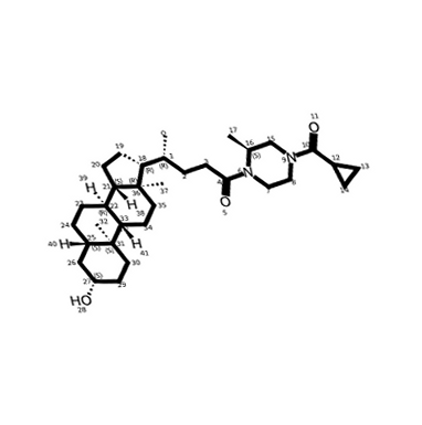 C[C@H](CCC(=O)N1CCN(C(=O)C2CC2)C[C@@H]1C)[C@H]1CC[C@H]2[C@@H]3CC[C@H]4C[C@@H](O)CC[C@]4(C)[C@H]3CC[C@]12C